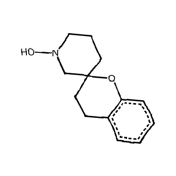 ON1CCCC2(CCc3ccccc3O2)C1